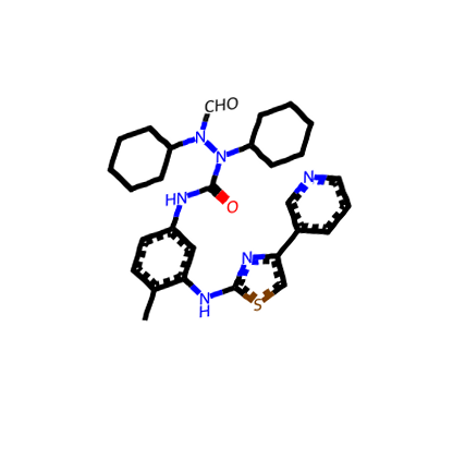 Cc1ccc(NC(=O)N(C2CCCCC2)N(C=O)C2CCCCC2)cc1Nc1nc(-c2cccnc2)cs1